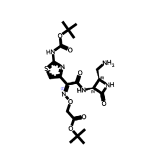 CC(C)(C)OC(=O)CO/N=C(\C(=O)N[C@@H]1C(=O)N[C@@H]1CN)c1csc(NC(=O)OC(C)(C)C)n1